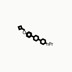 CCCC1CCC(C2CCC(c3ccc(OCC4CCC4)cc3)CC2)CC1